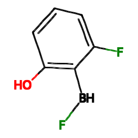 Oc1cccc(F)c1BF